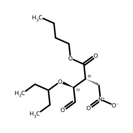 CCCCOC(=O)[C@H](C[N+](=O)[O-])[C@@H](C=O)OC(CC)CC